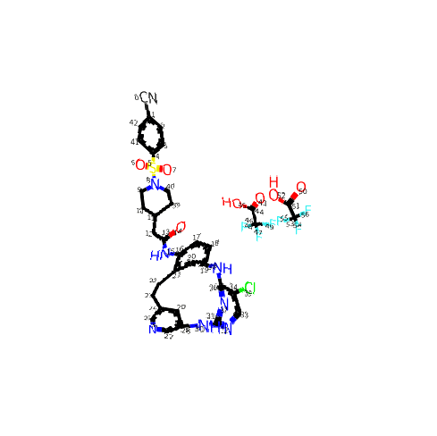 N#Cc1ccc(S(=O)(=O)N2CCC(CC(=O)Nc3ccc4cc3CCc3cncc(c3)Nc3ncc(Cl)c(n3)N4)CC2)cc1.O=C(O)C(F)(F)F.O=C(O)C(F)(F)F